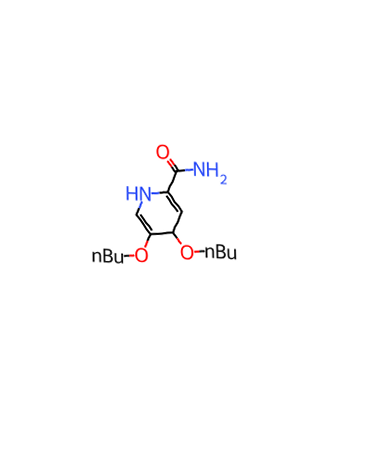 CCCCOC1=CNC(C(N)=O)=CC1OCCCC